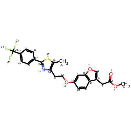 COC(=O)Cc1coc2cc(OCCc3nc(-c4ccc(C(F)(F)F)cc4)sc3C)ccc12